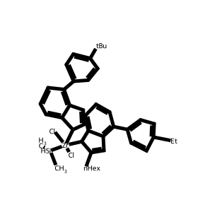 CCCCCCC1=Cc2c(-c3ccc(CC)cc3)cccc2[CH]1[Zr]([Cl])([Cl])([CH]1C=Cc2c(-c3ccc(C(C)(C)C)cc3)cccc21)[SiH](C)C